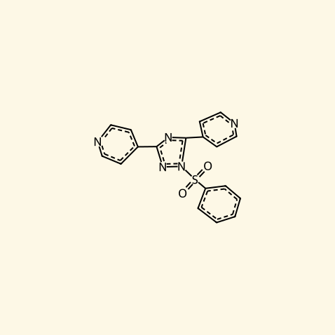 O=S(=O)(c1ccccc1)n1nc(-c2ccncc2)nc1-c1ccncc1